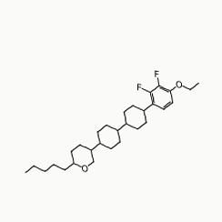 CCCCCC1CCC(C2CCC(C3CCC(c4ccc(OCC)c(F)c4F)CC3)CC2)CO1